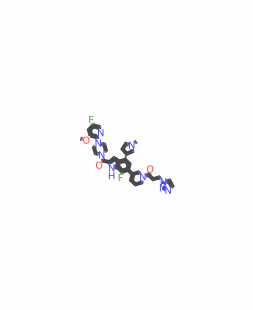 COc1cc(F)cnc1N1CCN(C(=O)c2cc3c([C@H]4CCN(C)C4)cc(C4=CCCN(C(=O)CCn5ccnn5)C4)c(F)c3[nH]2)CC1